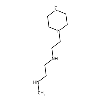 CNCCNCCN1CCNCC1